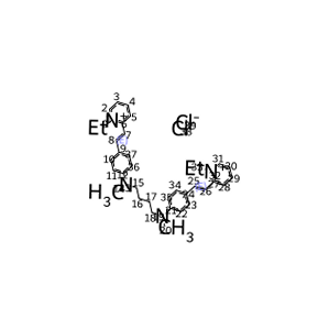 CC[n+]1ccccc1/C=C/c1ccc(N(C)CCCCN(C)c2ccc(/C=C/c3cccc[n+]3CC)cc2)cc1.[Cl-].[Cl-]